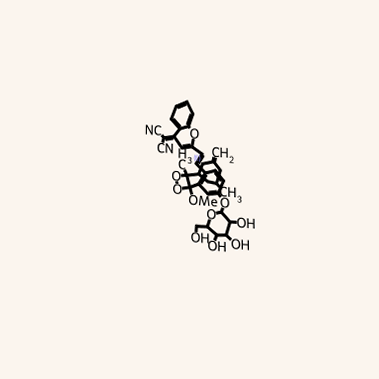 C=C1CC(C)CC(C2(C)OOC2(OC)c2cc(OC3OC(CO)C(O)C(O)C3O)ccc2/C=C/C2=CC(=C(C#N)C#N)c3ccccc3O2)C1